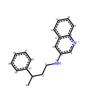 CC(CCNc1cnc2ccccc2c1)c1ccccc1